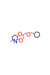 Cc1ccc2c(n1)OCC(COCc1ccccc1)O2